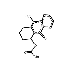 Cc1c2n(c(=O)c3ccccc13)C(OC(=O)C(C)(C)C)CCC2